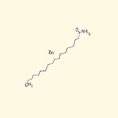 CCCCCCCCCCCCCCCCCC(N)=O.[Zn]